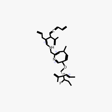 C=CC=C=CC(C(=C)C)/C(=C\NCC1=C/C(C)C#CC(OC[C@@](/C=C/C)(C(=C)C)C(F)CC)/C=N\1)CC=C